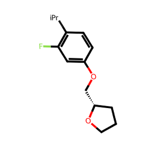 CC(C)c1ccc(OC[C@@H]2CCCO2)cc1F